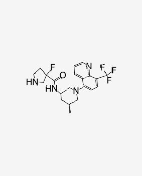 C[C@H]1CC(NC(=O)C2(F)CCNC2)CN(c2ccc(C(F)(F)F)c3ncccc23)C1